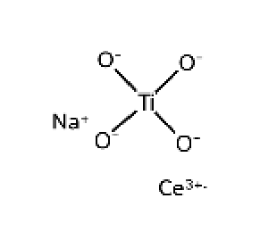 [Ce+3].[Na+].[O-][Ti]([O-])([O-])[O-]